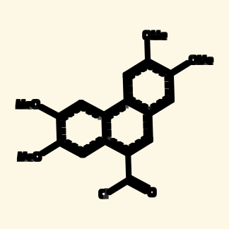 COc1cc2cc(C(=O)Cl)c3cc(OC)c(OC)cc3c2cc1OC